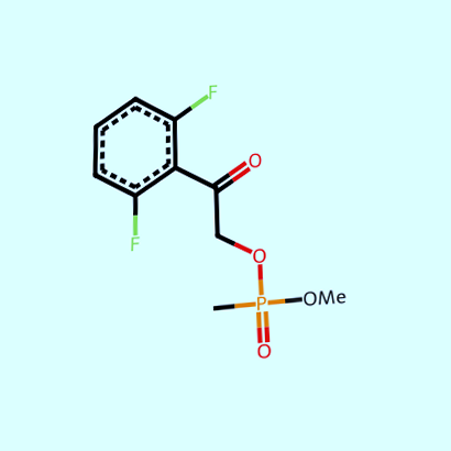 COP(C)(=O)OCC(=O)c1c(F)cccc1F